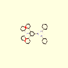 c1ccc(C2=NC(c3ccccc3)NC(c3cc(-c4ccccc4)c(N(c4ccccc4)c4ccccc4)c(-c4ccccc4)c3)=N2)cc1